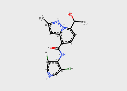 CC(O)c1ccc(C(=O)Nc2c(Cl)cncc2Cl)c2cc(C(F)(F)F)nn12